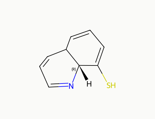 SC1=CC=CC2C=CC=N[C@@H]12